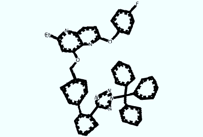 CCc1cc(OCc2ccc(-c3ccccc3-c3nnn(C(c4ccccc4)(c4ccccc4)c4ccccc4)n3)cc2)c2nc(Oc3ccc(F)cc3)ccc2n1